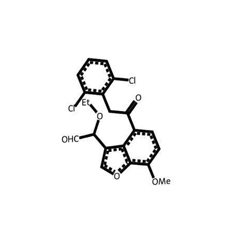 CCOC(C=O)c1coc2c(OC)ccc(C(=O)Cc3c(Cl)cccc3Cl)c12